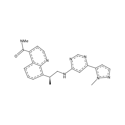 CNC(=O)c1ccnc2c([C@H](C)CNc3cc(-c4ccnn4C)ncn3)cccc12